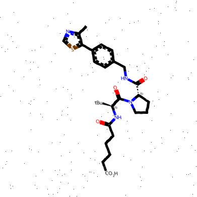 Cc1ncsc1-c1ccc(CNC(=O)[C@@H]2CCCN2C(=O)[C@@H](NC(=O)CCCCC(=O)O)C(C)(C)C)cc1